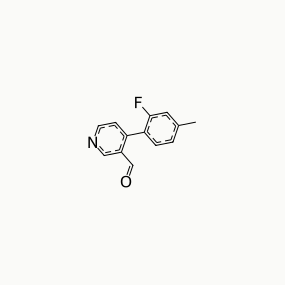 Cc1ccc(-c2ccncc2C=O)c(F)c1